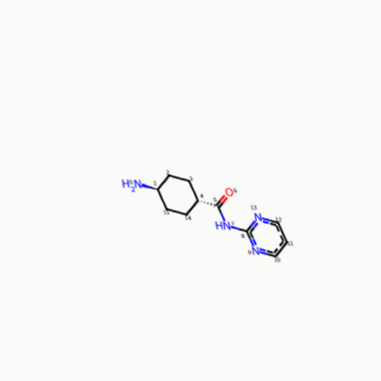 N[C@H]1CC[C@H](C(=O)Nc2ncccn2)CC1